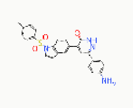 Cc1ccc(S(=O)(=O)n2ccc3cc(-c4cc(-c5ccc(N)cc5)n[nH]c4=O)ccc32)cc1